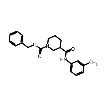 Cc1cccc(NC(=O)C2CCCN(C(=O)OCc3ccccc3)C2)c1